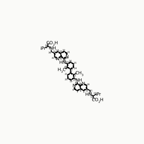 Cc1c(Nc2nccc3cc(CNC(C(=O)O)C(C)C)cnc23)cccc1-c1cccc(Nc2nccc3cc(CNC(C(=O)O)C(C)C)cnc23)c1C